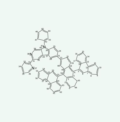 C1=Cc2c(c(-c3cc4ccccc4c4ccccc34)c3ccc(-c4ccc5c(c4)c4cc(-c6ccccn6)ncc4n5-c4ccccc4)cc3c2-c2cc3ccccc3c3ccccc23)CC1